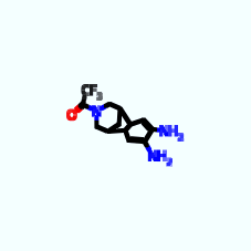 NC1=CC2C3CC(CN(C(=O)C(F)(F)F)C3)C2C=C1N